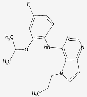 CCCn1ccc2ncnc(Nc3ccc(F)cc3OC(C)C)c21